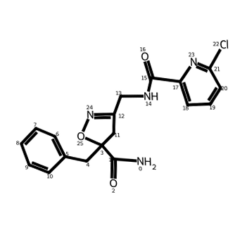 NC(=O)C1(Cc2ccccc2)CC(CNC(=O)c2cccc(Cl)n2)=NO1